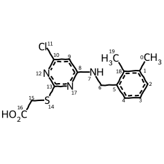 Cc1cccc(CNc2cc(Cl)nc(SCC(=O)O)n2)c1C